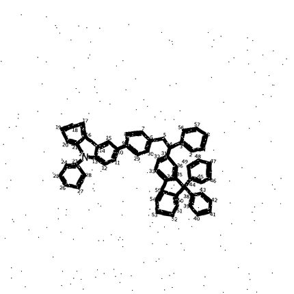 c1ccc(C(Cc2ccc(-c3ccc4c(c3)c3ccccc3n4-c3ccccc3)cc2)c2ccc3c(c2)C(c2ccccc2)(c2ccccc2)c2ccccc2-3)cc1